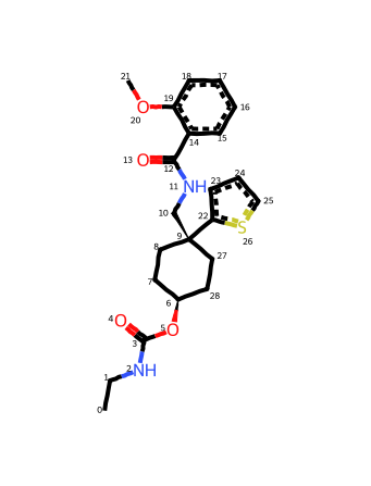 CCNC(=O)O[C@H]1CC[C@](CNC(=O)c2ccccc2OC)(c2cccs2)CC1